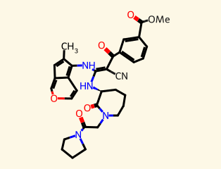 COC(=O)c1cccc(C(=O)C(C#N)=C(Nc2c(C)cc3coccc2-3)N[C@H]2CCCCN(CC(=O)N3CCCC3)C2=O)c1